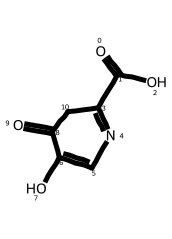 O=C(O)C1=NC=C(O)C(=O)C1